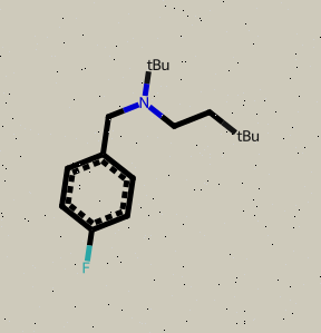 CC(C)(C)CCN(Cc1ccc(F)cc1)C(C)(C)C